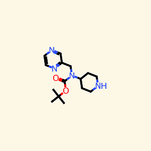 CC(C)(C)OC(=O)N(Cc1cnccn1)C1CCNCC1